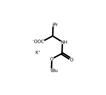 CC(C)C(NC(=O)OC(C)(C)C)C(=O)[O-].[K+]